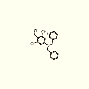 Cc1cc(N(Cc2ccccc2)Cc2ccccc2)cc(Cl)c1CCl